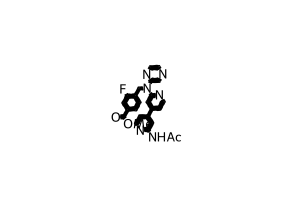 COC(=O)c1ccc(CN(c2cnccn2)c2cc(-c3ccnc(NC(C)=O)c3)ccn2)c(F)c1